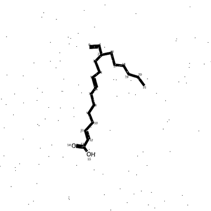 C=CC(CCC=CCCCCC=CC(=O)O)CCCCCC